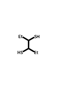 CCC(S)C(S)CC